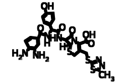 Cc1nnc(SCC2=C(C(=O)O)N3C(=O)C(NC(=O)C(NC(=O)c4ccc(N)c(N)c4)c4ccc(O)cc4)[C@H]3SC2)s1